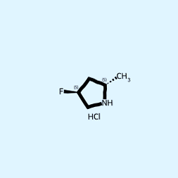 C[C@H]1C[C@H](F)CN1.Cl